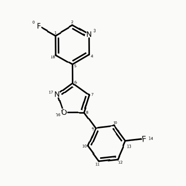 Fc1cncc(-c2cc(-c3cccc(F)c3)on2)c1